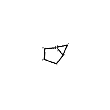 [C]1CCC2CN12